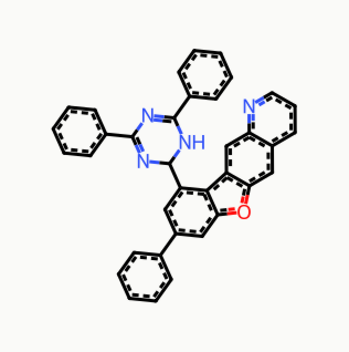 c1ccc(C2=NC(c3cc(-c4ccccc4)cc4oc5cc6cccnc6cc5c34)NC(c3ccccc3)=N2)cc1